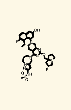 CCc1c(F)ccc2cc(O)cc(N3CCc4c(nc(OCC56CCCN5C[C@H](F)C6)nc4N4CCCn5nc(NS(C)(=O)=O)cc5C4)C3)c12